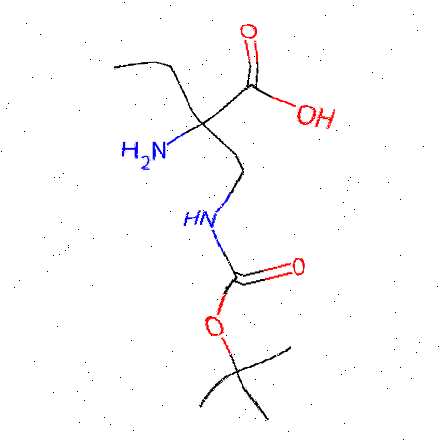 CCC(N)(CNC(=O)OC(C)(C)C)C(=O)O